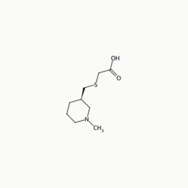 CN1CCC[C@@H](CSCC(=O)O)C1